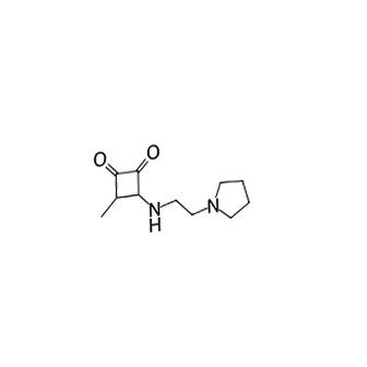 CC1C(=O)C(=O)C1NCCN1CCCC1